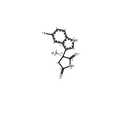 B[C@@]1(c2c[nH]c3ccc(F)cc23)CC(=O)NC1=O